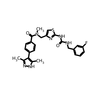 Cc1n[nH]c(C)c1-c1ccc(C(=O)N(C)Cc2csc(NC(=O)NCc3cccc(F)c3)n2)cc1